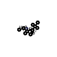 C=Cc1c(/C=C\C)c(-c2cccc(-c3ccccc3)c2)c2ccccc2c1-c1cccc2oc3cc(-c4c5ccccc5c(-c5ccccc5)c5ccccc45)ccc3c12